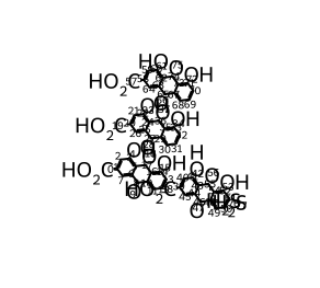 O=C(O)c1cc(O)c2c(c1)C(=O)c1cccc(O)c1C2=O.O=C(O)c1cc(O)c2c(c1)C(=O)c1cccc(O)c1C2=O.O=C(O)c1cc(O)c2c(c1)C(=O)c1cccc(O)c1C2=O.O=C(O)c1cc(O)c2c(c1)C(=O)c1cccc(O)c1C2=O.S.S